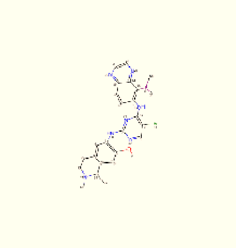 COc1cc2c(cc1Nc1ncc(Br)c(Nc3ccc4nccnc4c3P(C)C)n1)CCN(C)C2C